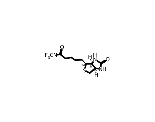 O=C(CCCC[C@@H]1SC[C@@H]2NC(=O)N[C@@H]21)NC(F)(F)F